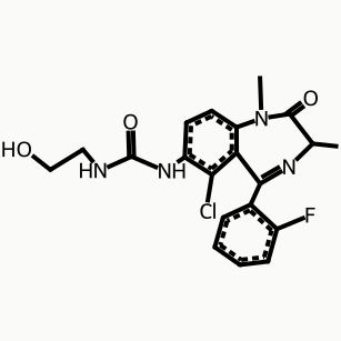 CC1N=C(c2ccccc2F)c2c(ccc(NC(=O)NCCO)c2Cl)N(C)C1=O